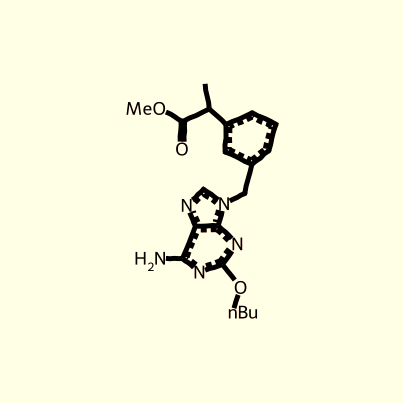 CCCCOc1nc(N)c2ncn(Cc3cccc(C(C)C(=O)OC)c3)c2n1